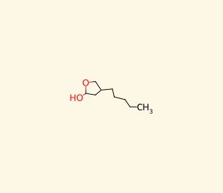 CCCCCC1COC(O)C1